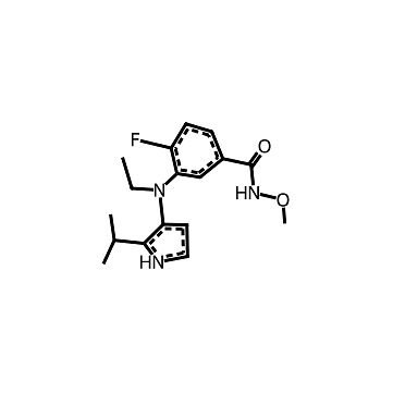 CCN(c1cc(C(=O)NOC)ccc1F)c1cc[nH]c1C(C)C